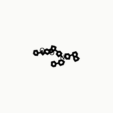 c1ccc(-c2cccc(N(c3ccc(-c4cccc5ccccc45)cc3)c3ccc(-c4cccc5c4oc4cc6cc(-c7ccccc7)oc6cc45)cc3)c2)cc1